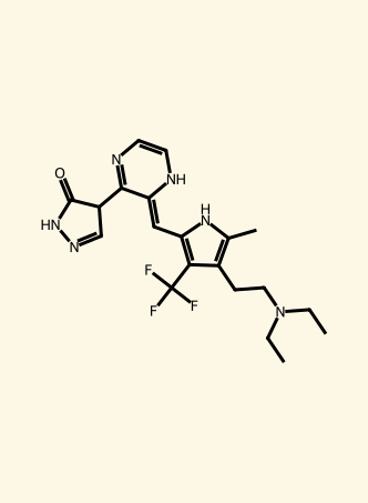 CCN(CC)CCc1c(C)[nH]c(C=C2NC=CN=C2C2C=NNC2=O)c1C(F)(F)F